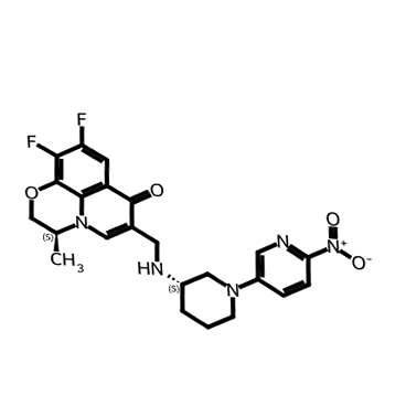 C[C@H]1COc2c(F)c(F)cc3c(=O)c(CN[C@H]4CCCN(c5ccc([N+](=O)[O-])nc5)C4)cn1c23